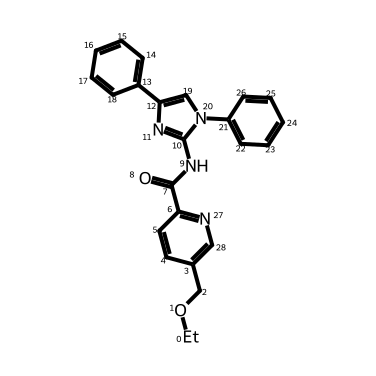 CCOCc1ccc(C(=O)Nc2nc(-c3ccccc3)cn2-c2ccccc2)nc1